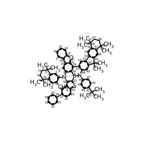 Cc1cc2c(cc1N1c3cc4c(oc5ccccc54)c4c3B(c3sc5ccc(-c6ccccc6)cc5c31)N(c1ccc(C(C)(C)C)cc1)c1cc3c(cc1-4)-c1cc4c(cc1C3(C)C)C(C)(C)CCC4(C)C)C(C)(C)CCC2(C)C